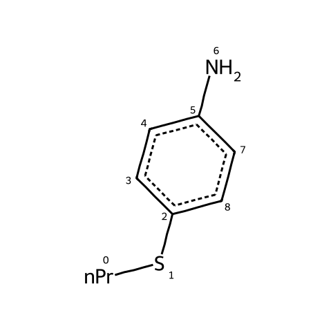 CCCSc1ccc(N)cc1